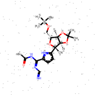 CCCCC(=O)N/C(=N/C=N)c1ccc([C@]2(C#N)O[C@H](CO[Si](C)(C)C(C)(C)C)[C@H]3OC(C)(C)O[C@H]32)[nH]1